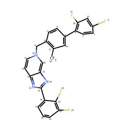 Fc1ccc(-c2ccc(Cn3ccc4nc(-c5cccc(F)c5F)nc-4c3)c(C(F)(F)F)c2)c(F)c1